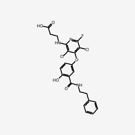 O=C(O)CCNc1nc(F)c(Cl)c(Oc2ccc(O)c(C(=O)NCCc3ccccc3)c2)c1Cl